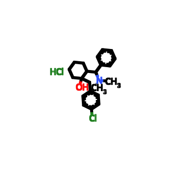 CN(C)C(c1ccccc1)C1CCCCC1(O)Cc1ccc(Cl)cc1.Cl